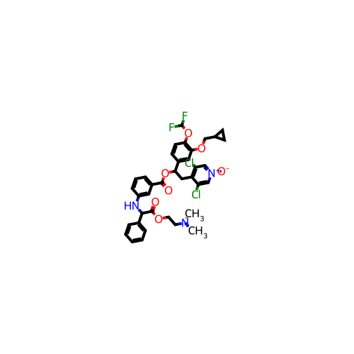 CN(C)CCOC(=O)C(Nc1cccc(C(=O)OC(Cc2c(Cl)c[n+]([O-])cc2Cl)c2ccc(OC(F)F)c(OCC3CC3)c2)c1)c1ccccc1